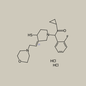 Cl.Cl.O=C(C1CC1)C(c1ccccc1F)N1CCC(S)/C(=C\CN2CCOCC2)C1